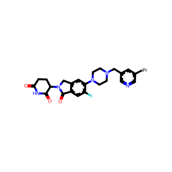 CC(C)c1cncc(CN2CCN(c3cc4c(cc3F)C(=O)N(C3CCC(=O)NC3=O)C4)CC2)c1